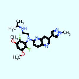 COc1cc(OC)c(F)c(N(CCNC(C)C)c2ccc3ncc(-c4cnn(C)c4)cc3n2)c1F